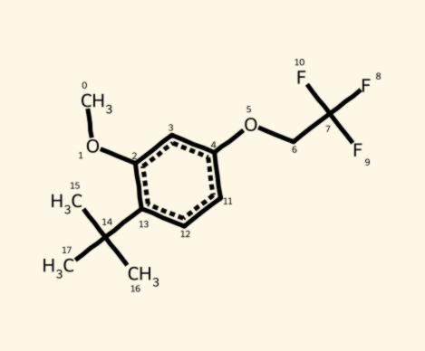 COc1cc(OCC(F)(F)F)ccc1C(C)(C)C